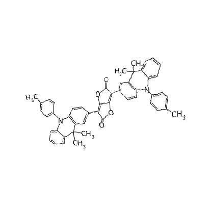 Cc1ccc(N2c3ccccc3C(C)(C)c3cc(C4=C5OC(=O)C(c6ccc7c(c6)C(C)(C)c6ccccc6N7c6ccc(C)cc6)=C5OC4=O)ccc32)cc1